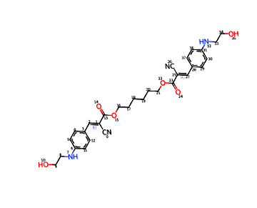 N#C/C(=C\c1ccc(NCCO)cc1)C(=O)OCCCCCCOC(=O)/C(C#N)=C/c1ccc(NCCO)cc1